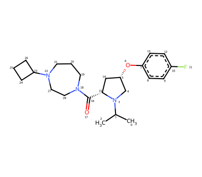 CC(C)N1C[C@@H](Oc2ccc(F)cc2)C[C@H]1C(=O)N1CCCN(C2CCC2)CC1